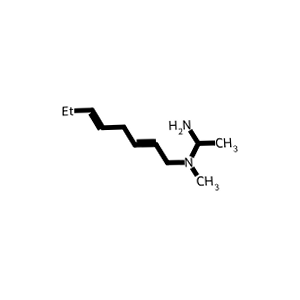 CCC=CCC=CCN(C)C(C)N